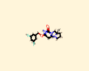 O=c1nc(OCc2cc(F)cc(F)c2)cc2n1C[C@@H]1CCCN21